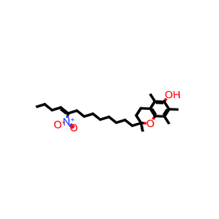 CCCC=C(CCCCCCCCC1(C)CCc2c(C)c(O)c(C)c(C)c2O1)[N+](=O)[O-]